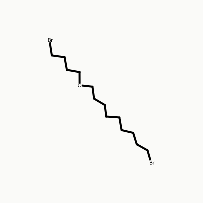 BrCCCCCCCCCOCCCCBr